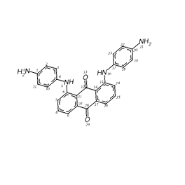 Nc1ccc(Nc2cccc3c2C(=O)c2c(Nc4ccc(N)cc4)cccc2C3=O)cc1